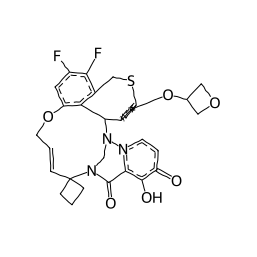 O=C1c2c(O)c(=O)ccn2N2CN1C1(/C=C/COc3cc(F)c(F)c4c3C2c2cccc(OC3COC3)c2SC4)CCC1